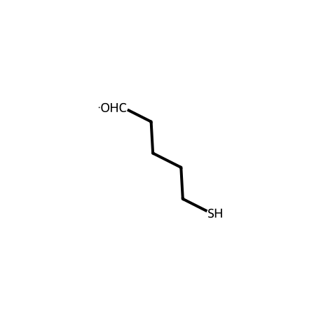 O=[C]CCCCS